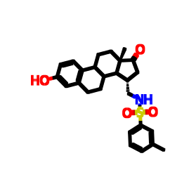 Cc1cccc(S(=O)(=O)NC[C@H]2CC(=O)[C@@]3(C)CCC4c5ccc(O)cc5CCC4C23)c1